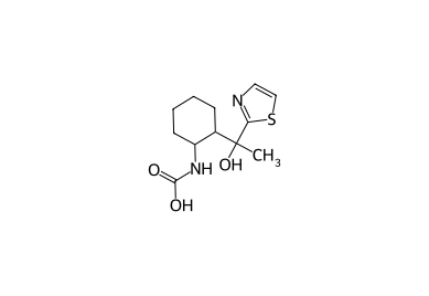 CC(O)(c1nccs1)C1CCCCC1NC(=O)O